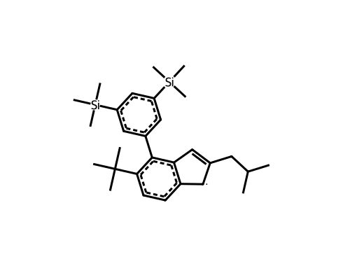 CC(C)CC1=Cc2c(ccc(C(C)(C)C)c2-c2cc([Si](C)(C)C)cc([Si](C)(C)C)c2)[CH]1